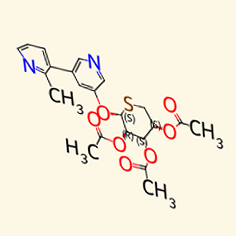 CC(=O)O[C@@H]1[C@@H](OC(C)=O)[C@@H](Oc2cncc(-c3cccnc3C)c2)SC[C@H]1OC(C)=O